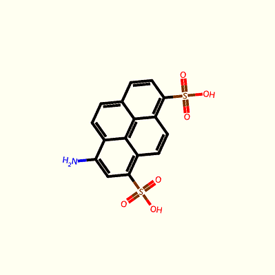 Nc1cc(S(=O)(=O)O)c2ccc3c(S(=O)(=O)O)ccc4ccc1c2c43